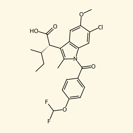 CCC(C)[C@H](C(=O)O)c1c(C)n(C(=O)c2ccc(OC(F)F)cc2)c2cc(Cl)c(OC)cc12